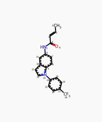 C/C=C/C(=O)Nc1ccc2c(ccn2-c2ccc(C(F)(F)F)cc2)c1